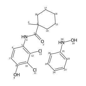 CC1(C(=O)Nc2ccc(O)c(Cl)c2Cl)CCCCC1.ONc1ccccc1